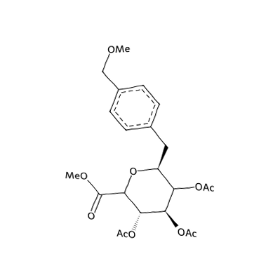 COCc1ccc(C[C@@H]2OC(C(=O)OC)[C@@H](OC(C)=O)[C@H](OC(C)=O)C2OC(C)=O)cc1